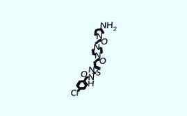 NC1CCN(C(=O)CN2CCN(C(=O)Cc3csc(NC(=O)c4ccc(Cl)cc4)n3)CC2)C1